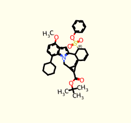 COc1ccc(C2CCCCC2)c2c1cc1n2CC2=C(C(=O)OC(C)(C)C)C2=C2C=CC[C@@H](S(=O)(=O)Oc3ccccc3)C21